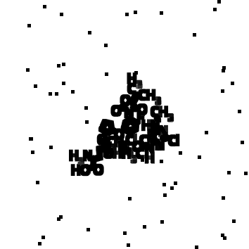 CC(C)=C1OC(=O)N(c2cc(OC3CCCC3)c(Cl)cc2F)C1=O.CCNc1nc(Cl)nc(NC(C)(C)C)n1.CP(=O)(O)CCC(N)C(=O)O